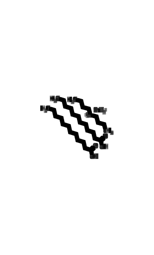 CCCCCCCCCCCC(=O)O.CCCCCCCCCCCC(=O)O.CCC[CH2][Sn][CH2]CCC.[SnH2]